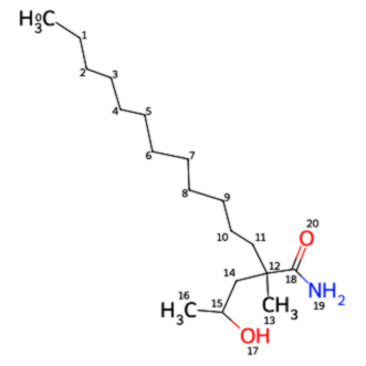 CCCCCCCCCCCCC(C)(CC(C)O)C(N)=O